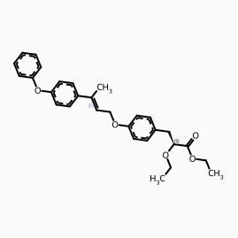 CCOC(=O)[C@H](Cc1ccc(OC/C=C(\C)c2ccc(Oc3ccccc3)cc2)cc1)OCC